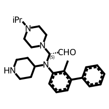 Cc1c(-c2ccccc2)cccc1N(C1CCNCC1)[C@@H](C=O)N1CCN(C(C)C)CC1